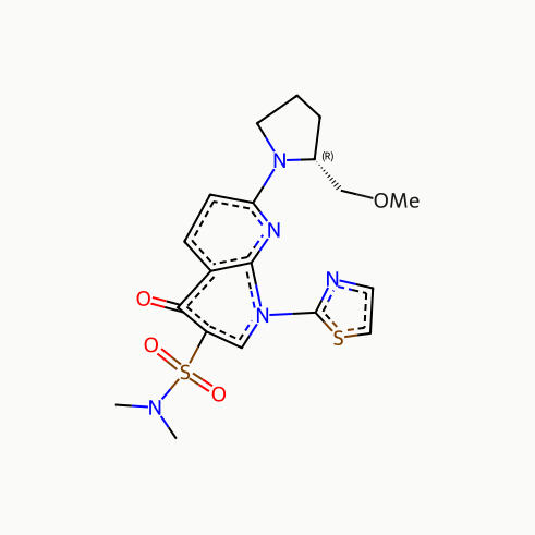 COC[C@H]1CCCN1c1ccc2c(=O)c(S(=O)(=O)N(C)C)cn(-c3nccs3)c2n1